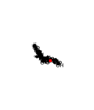 CCc1c2c(nc3ccc(OC(=O)OC(C)(C)C)cc13)-c1cc3c(c(=O)n1C2)COC(=O)C3(CC)OCOC1CCN(C(=O)O)CC1